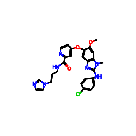 COc1cc2c(cc1Oc1ccnc(C(=O)NCCCn3ccnc3)c1)nc(Nc1ccc(Cl)cc1)n2C